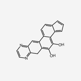 Oc1c2c(c3ccc4c(c3c1O)=CC=C4)=Cc1nccnc1C2